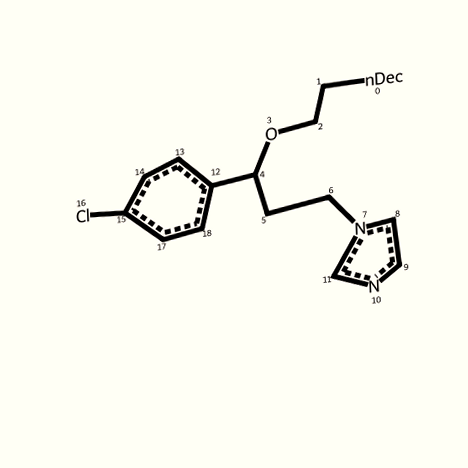 CCCCCCCCCCCCOC(CCn1ccnc1)c1ccc(Cl)cc1